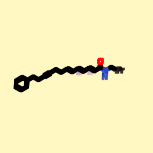 CC(C)CNC(=O)/C=C/C=C/C=CCCC#CCCc1ccccc1